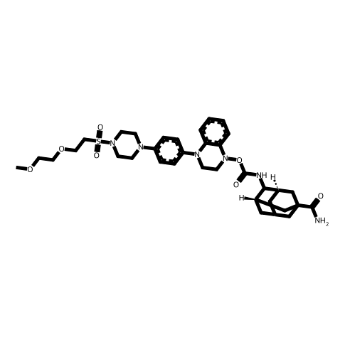 COCCOCCS(=O)(=O)N1CCN(c2ccc(N3CCN(OC(=O)NC4[C@@H]5CC6C[C@H]4CC(C(N)=O)(C6)C5)c4ccccc43)cc2)CC1